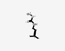 CC(C)=CCNC(=O)OC(C)(C)C